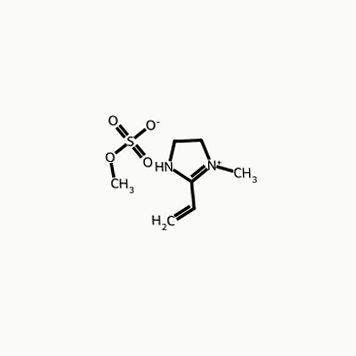 C=CC1=[N+](C)CCN1.COS(=O)(=O)[O-]